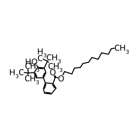 CCCCCCCCCCCCOC(=O)c1ccccc1-c1cc(C(C)(C)C)c(O)c(C(C)(C)C)c1